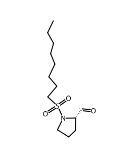 CCCCCCCCS(=O)(=O)N1CCC[C@H]1[C]=O